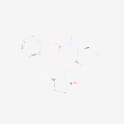 CC(C)C[C@@H](C(=O)ON1C(=O)CCC1=O)N(C)C(=O)OCc1ccccc1